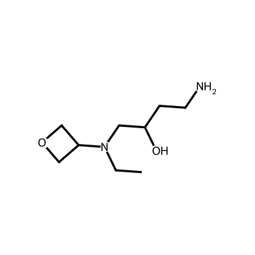 CCN(CC(O)CCN)C1COC1